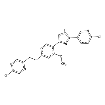 COc1cc(CCc2cnc(Cl)cn2)ccc1-c1c[nH]c(-c2ccc(Cl)nc2)n1